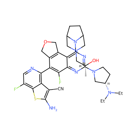 CCN(CC)[C@H]1CCN(c2nc(N3C4CCC3CN(C[C@@H](C)O)C4)c3c4c(c(-c5ncc(F)c6sc(N)c(C#N)c56)c(F)c3n2)COC4)C1